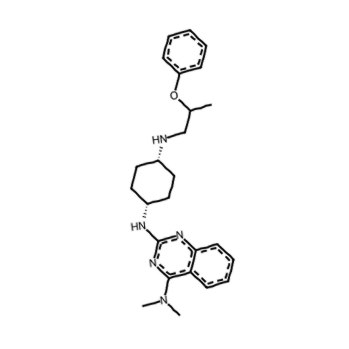 CC(CN[C@H]1CC[C@@H](Nc2nc(N(C)C)c3ccccc3n2)CC1)Oc1ccccc1